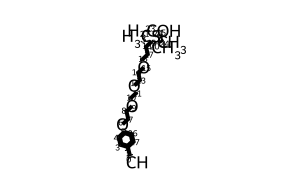 C#Cc1ccc(OCCOCCOCCOCCCC(C)(C)[Si](C)(C)O)cc1